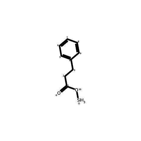 O=C(CCc1ccccc1)O[SiH3]